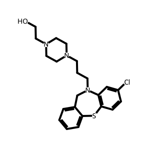 OCCN1CCN(CCCN2Cc3ccccc3Sc3ccc(Cl)cc32)CC1